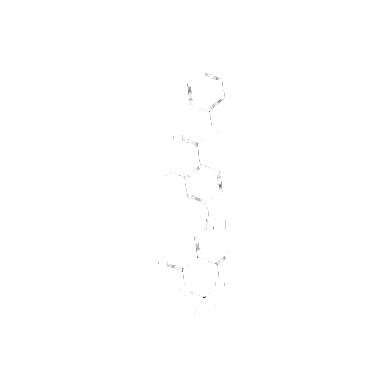 CC1(C)OC(=O)C(=CNc2ccc(C(=O)Oc3ccccc3)c(O)c2)C(=O)O1